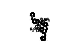 CC(C)(C)OC(=O)n1c(-c2cc3cc(CCCN(Cc4ccccc4)Cc4ccccc4)ccc3n(N)c2=O)cc2cc(CN3CCCCC3)ccc21